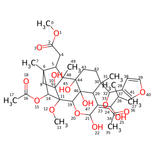 COC(=O)CC1C2(C)CC3(O)C(OC)(C2OC(C)=O)C2OC(O)/C(=C(\O)C(C)C)C4C(C)(C(OC(C)=O)c5ccoc5)CCC(O)(C42O)C13C